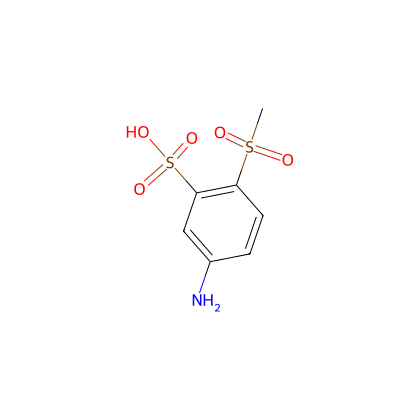 CS(=O)(=O)c1ccc(N)cc1S(=O)(=O)O